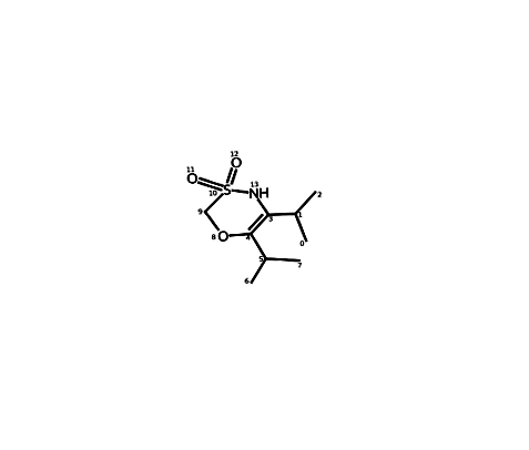 CC(C)C1=C(C(C)C)OCS(=O)(=O)N1